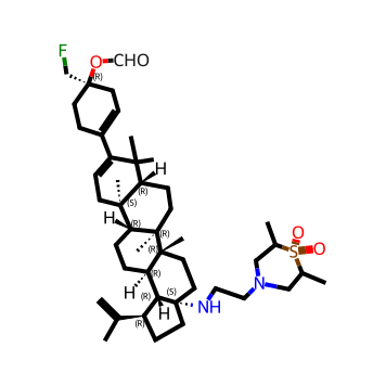 C=C(C)[C@@H]1CC[C@]2(NCCN3CC(C)S(=O)(=O)C(C)C3)CC[C@]3(C)[C@H](CC[C@@H]4[C@@]5(C)CC=C(C6=CC[C@](CF)(OC=O)CC6)C(C)(C)[C@@H]5CC[C@]43C)[C@@H]12